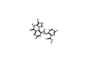 COC(=O)c1nc(C)ccc1NC(C)c1cc(C)cc2c(=O)n(C)c3c(I)ncn3c12